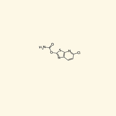 NC(=O)Oc1nc2ccc(Cl)nc2s1